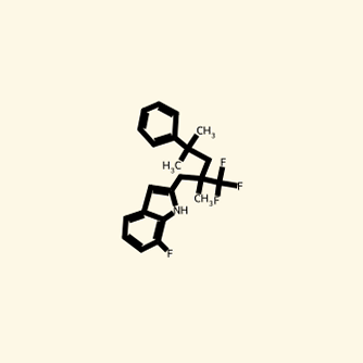 CC(C)(CC(C)(Cc1cc2cccc(F)c2[nH]1)C(F)(F)F)c1ccccc1